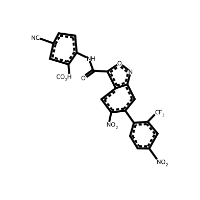 N#Cc1ccc(NC(=O)c2onc3cc(-c4ccc([N+](=O)[O-])cc4C(F)(F)F)c([N+](=O)[O-])cc23)c(C(=O)O)c1